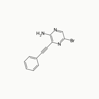 Nc1ncc(Br)nc1C#Cc1ccccc1